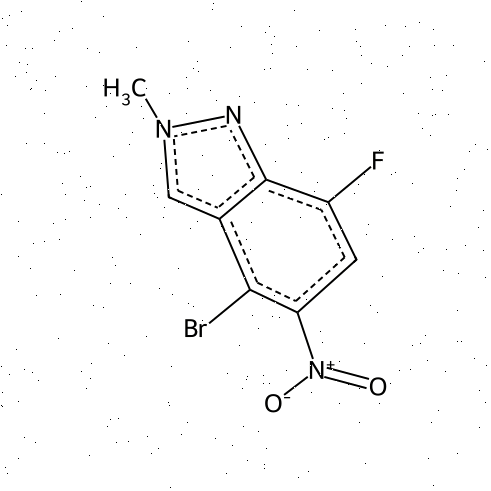 Cn1cc2c(Br)c([N+](=O)[O-])cc(F)c2n1